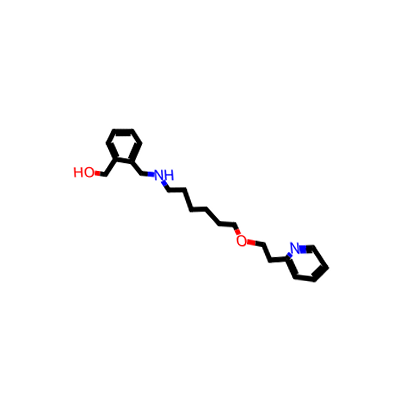 OCc1ccccc1CNCCCCCCOCCc1ccccn1